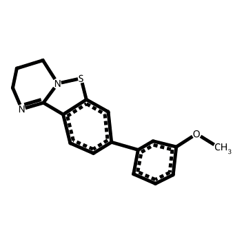 COc1cccc(-c2ccc3c(c2)SN2CCCN=C32)c1